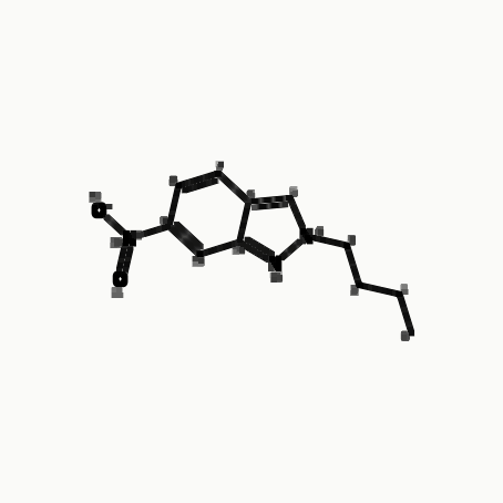 CCCCn1cc2ccc([N+](=O)[O-])cc2n1